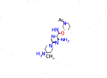 CC(=O)N1CCCC(OC(=N)c2ncc(N3CCC(C)(N)CC3)nc2N)C1